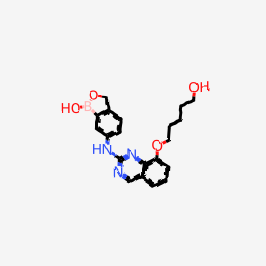 OCCCCCOc1cccc2cnc(Nc3ccc4c(c3)B(O)OC4)nc12